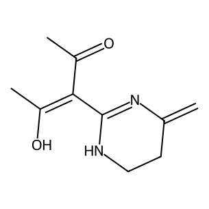 C=C1CCNC(/C(C(C)=O)=C(/C)O)=N1